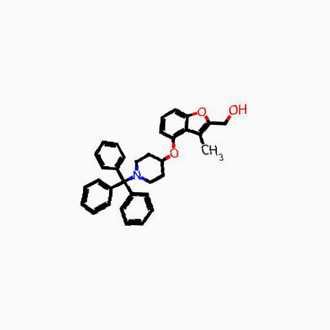 Cc1c(CO)oc2cccc(OC3CCN(C(c4ccccc4)(c4ccccc4)c4ccccc4)CC3)c12